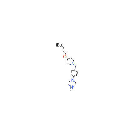 CCC(C)CCCOC1CCN(Cc2ccc(N3CCN(C)CC3)cc2)CC1